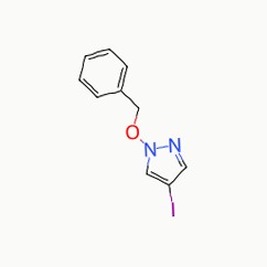 Ic1cnn(OCc2ccccc2)c1